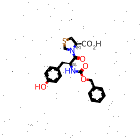 O=C(N[C@@H](Cc1ccc(O)cc1)C(=O)N1CSC[C@H]1C(=O)O)OCc1ccccc1